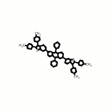 Cc1ccc(-c2sc3cc(-c4ccc5c(-c6ccccc6)c6cc(-c7ccc8c(-c9ccc(C)cc9)c(-c9ccc(C)cc9)sc8c7)ccc6c(-c6ccccc6)c5c4)ccc3c2-c2ccc(C)cc2)cc1